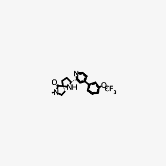 CN1CC[C@@]2(CC[C@H](c3cc(-c4cccc(OC(F)(F)F)c4)ccn3)N2)C1=O